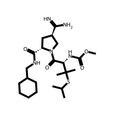 COC(=O)N[C@@H](C(=O)N1C[C@H](C(=N)N)C[C@H]1C(=O)NCC1CCCCC1)C(C)(C)SC(C)C